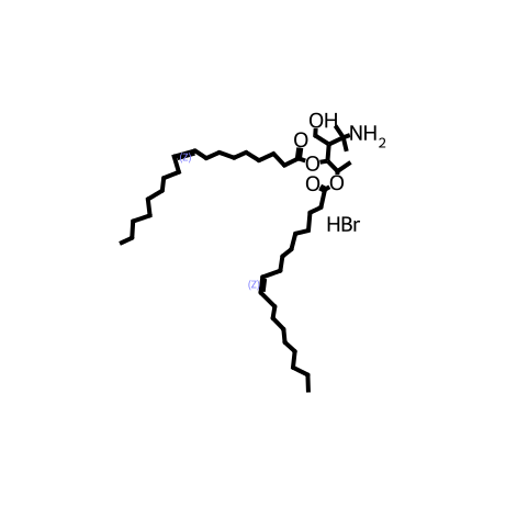 Br.CCCCCCCC/C=C\CCCCCCCC(=O)OC(C)C(OC(=O)CCCCCCC/C=C\CCCCCCCC)C(CO)C(C)(C)N